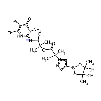 CC(C)c1c(Cl)[nH]/c(=N/C(C)C(C)(C)OC(=O)C(C)(C)n2cc(B3OC(C)(C)C(C)(C)O3)cn2)n(N)c1=O